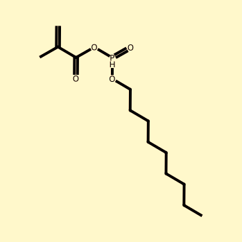 C=C(C)C(=O)O[PH](=O)OCCCCCCCCC